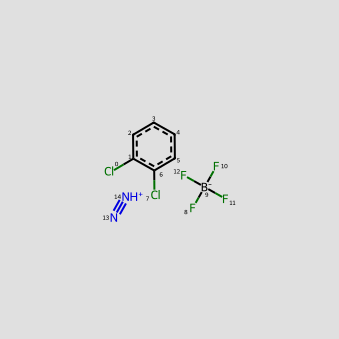 Clc1ccccc1Cl.F[B-](F)(F)F.N#[NH+]